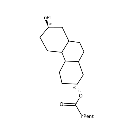 CCCCCC(=O)O[C@@H]1CCC2C(CCC3C[C@H](CCC)CCC32)C1